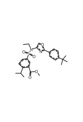 CCN(c1coc(-c2ccc(C(C)(C)C)cc2)n1)S(=O)(=O)c1ccc(C(C)C)c(C(=O)OC)c1